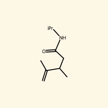 C=C(C)C(C)CC(=O)NC(C)C